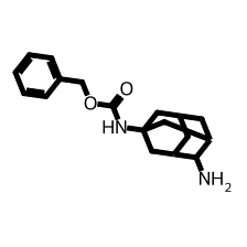 NC1C2CC3CC1CC(NC(=O)OCc1ccccc1)(C3)C2